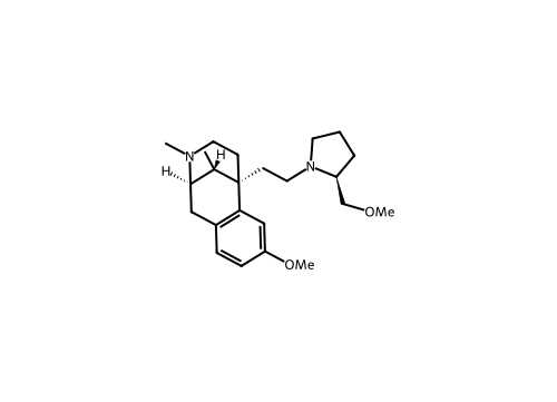 COC[C@@H]1CCCN1CC[C@]12CCN(C)[C@H](Cc3ccc(OC)cc31)[C@@H]2C